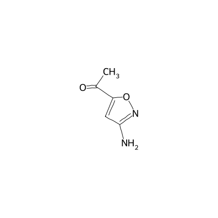 CC(=O)c1cc(N)no1